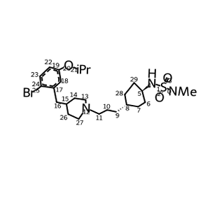 CNS(=O)(=O)N[C@H]1CC[C@H](CCCN2CCC(Cc3cc(OC(C)C)ccc3Br)CC2)CC1